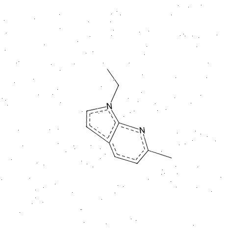 CCn1ccc2ccc(C)nc21